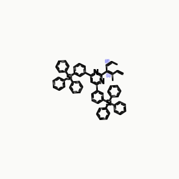 C=C/C(C)=C(\C=C/C)c1nc(-c2cccc([Si](c3ccccc3)(c3ccccc3)c3ccccc3)c2)cc(-c2cccc([Si](c3ccccc3)(c3ccccc3)c3ccccc3)c2)n1